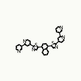 c1cncc(-c2cc(-c3ncc(-c4ccc(-c5cnc(-c6ccnc(-c7cccnc7)c6)s5)c5ccccc45)s3)ccn2)c1